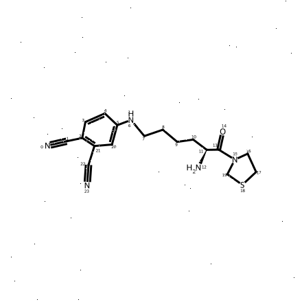 N#Cc1ccc(NCCCC[C@H](N)C(=O)N2CCSC2)cc1C#N